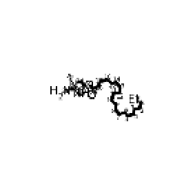 CC/C=C\C/C=C\C/C=C\C/C=C\C/C=C\C/C=C\CC(=O)OC(=O)CN(C)C(=N)N